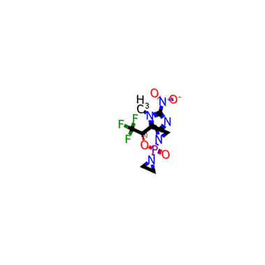 Cn1c([C@@H](OP(=O)(N2CC2)N2CC2)C(F)(F)F)cnc1[N+](=O)[O-]